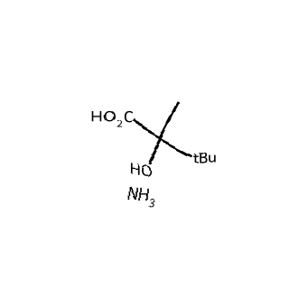 CC(C)(C)C(C)(O)C(=O)O.N